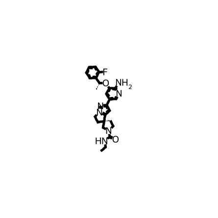 CCNC(=O)N1CC[C@@]2(CCn3nc(-c4cnc(N)c(O[C@H](C)c5ccccc5F)c4)cc32)C1